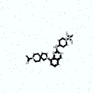 CC(=O)N1CCC2(CC1)CCN(c1cccc3cnc(NC4CCN(S(C)(=O)=O)CC4)nc13)C2